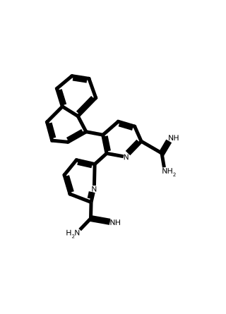 N=C(N)c1cccc(-c2nc(C(=N)N)ccc2-c2cccc3ccccc23)n1